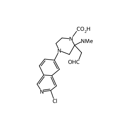 CNC1(CC=O)CN(c2ccc3cnc(Cl)cc3c2)CCN1C(=O)O